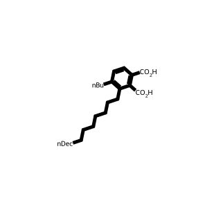 CCCCCCCCCCCCCCCCCc1c(CCCC)ccc(C(=O)O)c1C(=O)O